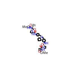 COC(=O)N[C@@H](CC(C)C)C(=O)N1CCC[C@H]1C(=O)Nc1ccc(CN(Cc2ccc(NC(=O)[C@@H]3CCCN3C(=O)[C@H](CC(C)C)NC(=O)OC)cc2)c2ccccc2)cc1